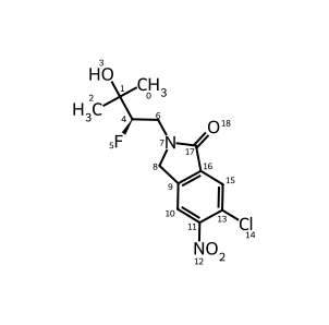 CC(C)(O)[C@H](F)CN1Cc2cc([N+](=O)[O-])c(Cl)cc2C1=O